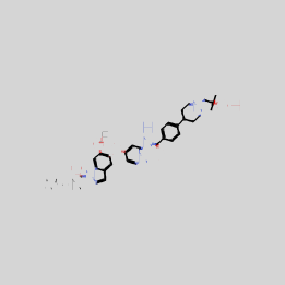 CCOc1cc2c(ccn2C(=O)NC)cc1Oc1ccnc(NC(=O)c2ccc(C3CCN(CC(C)(C)O)CC3)cc2)c1